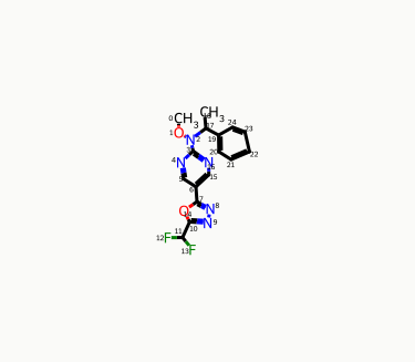 CON(c1ncc(-c2nnc(C(F)F)o2)cn1)C(C)c1ccccc1